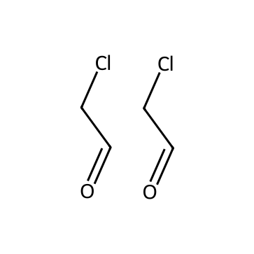 O=CCCl.O=CCCl